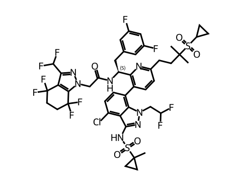 CC1(S(=O)(=O)Nc2nn(CC(F)F)c3c(-c4ccc(CCC(C)(C)S(=O)(=O)C5CC5)nc4[C@H](Cc4cc(F)cc(F)c4)NC(=O)Cn4nc(C(F)F)c5c4C(F)(F)CCC5(F)F)ccc(Cl)c23)CC1